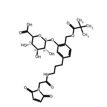 CC(C)(C)C(=O)OCc1ccc(CCCNC(=O)CN2C(=O)C=CC2=O)cc1O[C@@H]1OC(C(=O)O)[C@@H](O)[C@H](O)[C@H]1O